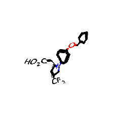 O=C(O)C[C@@H]1C[C@H](C(F)(F)F)CN1c1ccc(OCc2ccccc2)cc1